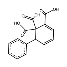 O=C(O)C1=CC=CC(c2ccccc2)C1(C(=O)O)C(=O)O